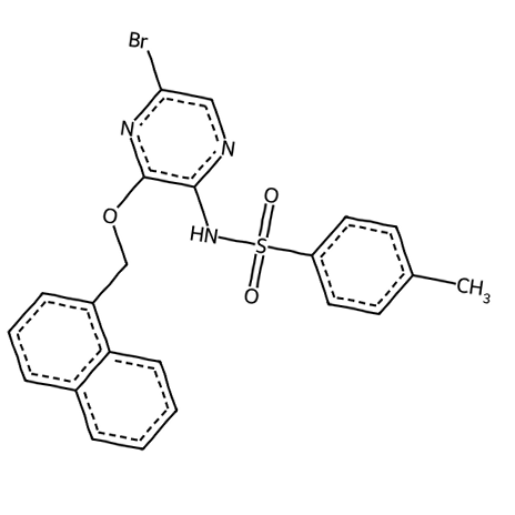 Cc1ccc(S(=O)(=O)Nc2ncc(Br)nc2OCc2cccc3ccccc23)cc1